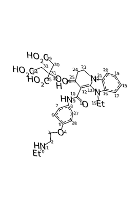 CCNCCOc1ccc(NC(=O)C2=C3N(CC)c4ccccc4N3CCC2=O)cc1.O=C(O)CC(O)(CC(=O)O)C(=O)O